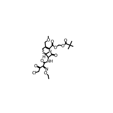 CCON=C(C(=O)CCl)C(=O)NC1C(=O)N2C(C(=O)OCOC(=O)C(C)(C)C)=C(COC)CS[C@@H]12